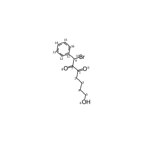 O=C(CCCCO)C(=O)C(Br)c1ccccc1